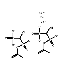 C=C(C)OP(=O)([O-])C(O)P(=O)([O-])[O-].C=C(C)OP(=O)([O-])C(O)P(=O)([O-])[O-].[Ca+2].[Ca+2].[Ca+2]